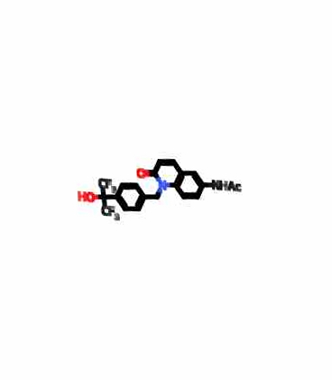 CC(=O)Nc1ccc2c(ccc(=O)n2Cc2ccc(C(O)(C(F)(F)F)C(F)(F)F)cc2)c1